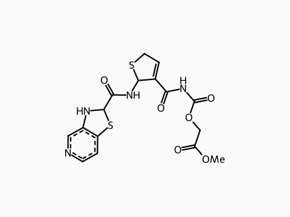 COC(=O)COC(=O)NC(=O)C1=CCSC1NC(=O)C1Nc2cnccc2S1